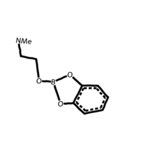 CNCCOB1Oc2ccccc2O1